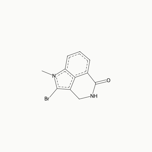 Cn1c(Br)c2c3c(cccc31)C(=O)NC2